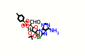 Cc1ccc(S(=O)(=O)OC(C=O)[C@H]2O[C@@H](n3c(Br)nc4c(N)ncnc43)[C@@H]3OC(C)(C)O[C@@H]32)cc1